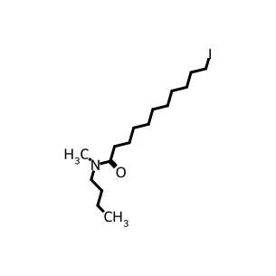 CCCCN(C)C(=O)CCCCCCCCCCI